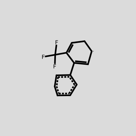 FC(F)(F)C1=CC[CH]C=C1c1ccccc1